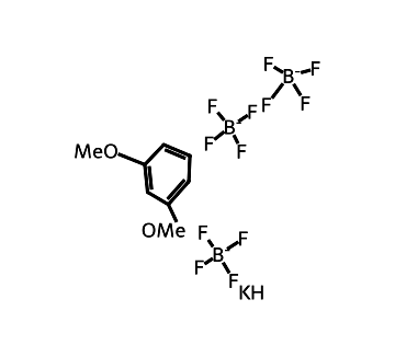 COc1cccc(OC)c1.F[B-](F)(F)F.F[B-](F)(F)F.F[B-](F)(F)F.[KH]